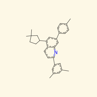 Cc1ccc(-c2cc(C3CCC(C)(C)C3)c3ccc(-c4cc(C)cc(C)c4)nc3c2)cc1